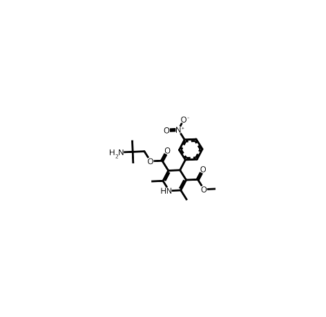 COC(=O)C1=C(C)NC(C)=C(C(=O)OCC(C)(C)N)C1c1cccc([N+](=O)[O-])c1